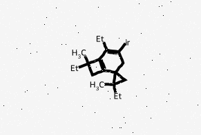 CCC1=[C]([Ir])CC2(CC2(C)CC)C2=C1C(C)(CC)C2